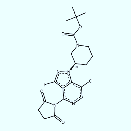 CC(C)(C)OC(=O)N1CCC[C@@H](n2nc(I)c3c(N4C(=O)CCC4=O)ncc(Cl)c32)C1